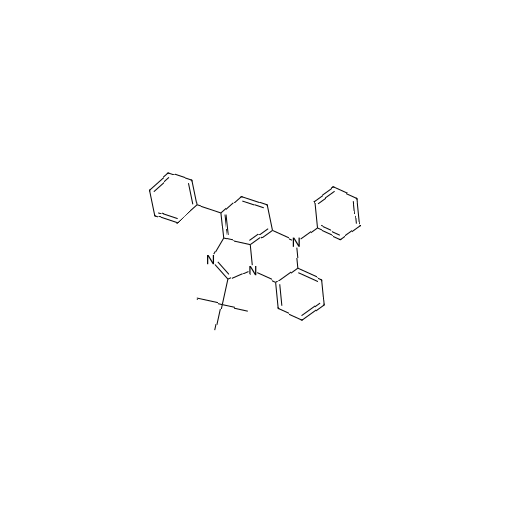 CC(C)(C)c1nc2c(-c3ccccc3)ccc3c2n1-c1ccccc1N3c1ccccc1